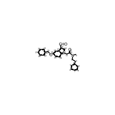 CN(CCc1ccccc1)C(=O)Cn1cc(C=O)c2cc(OCc3ccccc3)ccc21